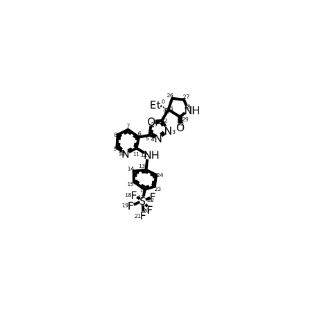 CC[C@]1(c2nnc(-c3cccnc3Nc3ccc(S(F)(F)(F)(F)F)cc3)o2)CCNC1=O